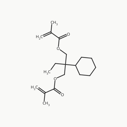 C=C(C)C(=O)OCC(CC)(COC(=O)C(=C)C)C1CCCCC1